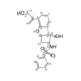 C=C(C(=O)O)c1cccc2c1OC1CC(NS(=O)(=O)c3ccccc3)C(O)C21